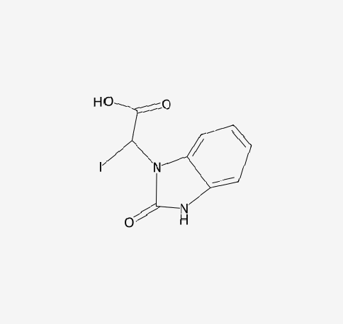 O=C(O)C(I)n1c(=O)[nH]c2ccccc21